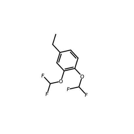 CCc1ccc(OC(F)F)c(OC(F)F)c1